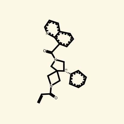 C=CC(=O)N1CC2(C1)CN(C(=O)c1cccc3cccnc13)C[C@@H]2c1ccccc1